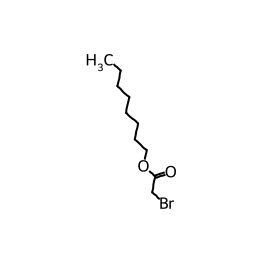 CCCCCCCCOC(=O)CBr